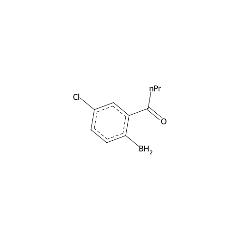 Bc1ccc(Cl)cc1C(=O)CCC